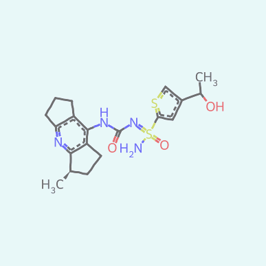 CC(O)c1csc(S(N)(=O)=NC(=O)Nc2c3c(nc4c2CC[C@H]4C)CCC3)c1